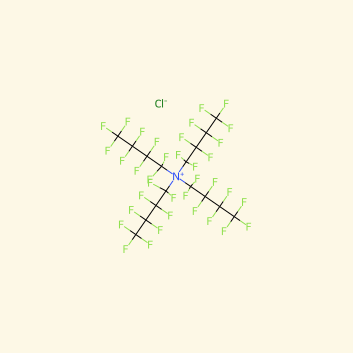 FC(F)(F)C(F)(F)C(F)(F)C(F)(F)[N+](C(F)(F)C(F)(F)C(F)(F)C(F)(F)F)(C(F)(F)C(F)(F)C(F)(F)C(F)(F)F)C(F)(F)C(F)(F)C(F)(F)C(F)(F)F.[Cl-]